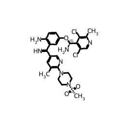 Cc1cc(C(=N)c2cc(O[C@H](N)c3c(Cl)cnc(C)c3Cl)ccc2N)cnc1N1CCN(S(C)(=O)=O)CC1